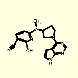 CN(c1ccc(C#N)c(O)n1)C1CCN(c2ncnc3[nH]ccc23)C1